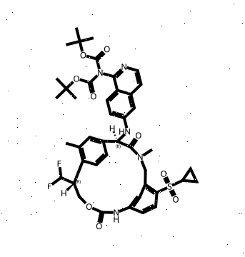 Cc1cc2ccc1[C@@H](C(F)F)COC(=O)Nc1ccc(S(=O)(=O)C3CC3)c(c1)CN(C)C(=O)[C@@H]2Nc1ccc2c(N(C(=O)OC(C)(C)C)C(=O)OC(C)(C)C)nccc2c1